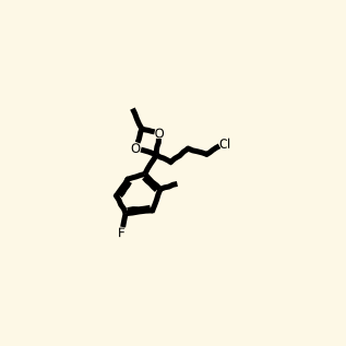 Cc1cc(F)ccc1C1(CCCCl)OC(C)O1